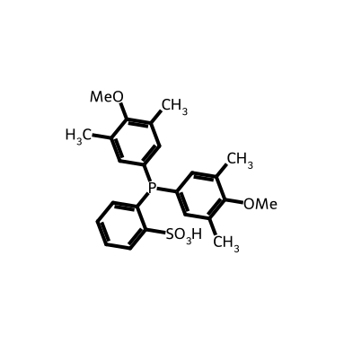 COc1c(C)cc(P(c2cc(C)c(OC)c(C)c2)c2ccccc2S(=O)(=O)O)cc1C